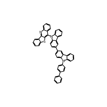 c1ccc(-c2ccc(-n3c4ccccc4c4cc(-c5ccc6c(c5)c5ccccc5n6-c5c6ccccc6nc6c5sc5ccccc56)ccc43)cc2)cc1